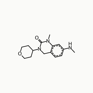 CNc1ccc2c(c1)N(C)C(=O)N(C1CCOCC1)C2